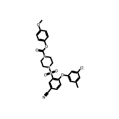 COc1ccc(OC(=O)N2CCN(S(=O)(=O)c3cc(C#N)ccc3Oc3cc(C)cc(Cl)c3)CC2)cc1